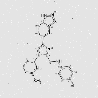 Cc1cccc(-n2cc(-c3ccc4[nH]ncc4c3)nc2CNc2ccc(F)cc2)n1